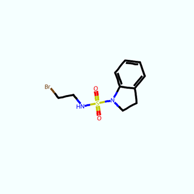 O=S(=O)(NCCBr)N1CCc2ccccc21